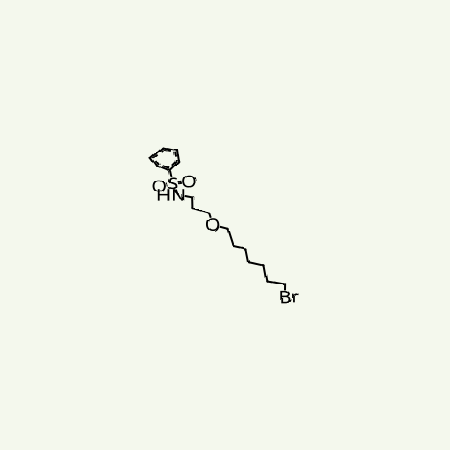 O=S(=O)(NCCCOCCCCCCCBr)c1ccccc1